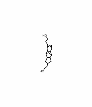 OCCC1CC2C(C1)C1CC2C2C3CC(CCO)C(C3)C12